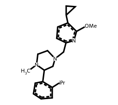 COc1nc(CN2CCN(C)C(c3ccccc3C(C)C)C2)ccc1C1CC1